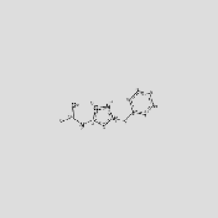 CC(=O)[N-]c1c[n+](Cc2ccccc2)no1